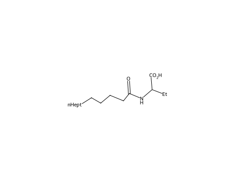 CCCCCCCCCCCC(=O)NC(CC)C(=O)O